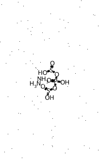 N.N.O=S(O)OP(=O)(O)OS(=O)O